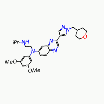 COc1cc(OC)cc(N(CCNC(C)C)c2ccc3ncc(-c4cnn(CC5CCOCC5)c4)nc3c2)c1